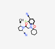 C#C[C@H]1CC[C@@H](C#N)N1C(=O)CNC1(Oc2ccc(C#N)c(F)c2)CCCCC1